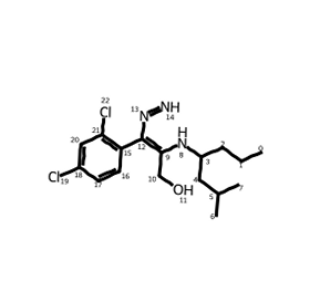 CCCC(CC(C)C)N/C(CO)=C(\N=N)c1ccc(Cl)cc1Cl